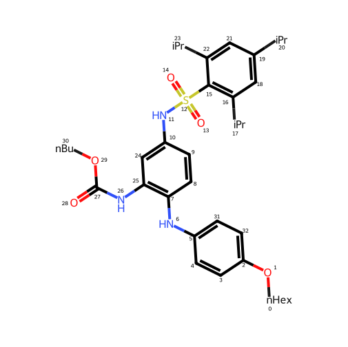 CCCCCCOc1ccc(Nc2ccc(NS(=O)(=O)c3c(C(C)C)cc(C(C)C)cc3C(C)C)cc2NC(=O)OCCCC)cc1